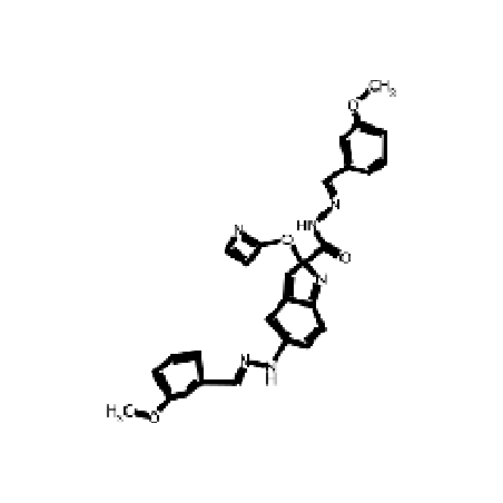 COc1cccc(C=NNC(=O)C2(OC3=NC=C3)C=c3cc(NN=Cc4cccc(OC)c4)ccc3=N2)c1